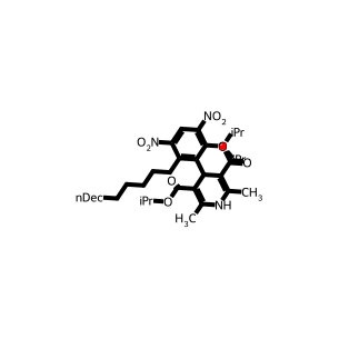 CCCCCCCCCCCCCCCc1c([N+](=O)[O-])cc([N+](=O)[O-])c(OC(C)C)c1C1C(C(=O)OC(C)C)=C(C)NC(C)=C1C(=O)OC(C)C